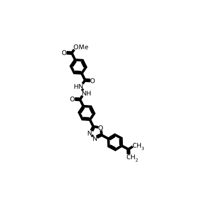 C=C(C)c1ccc(-c2nnc(-c3ccc(C(=O)NNC(=O)c4ccc(C(=O)OC)cc4)cc3)o2)cc1